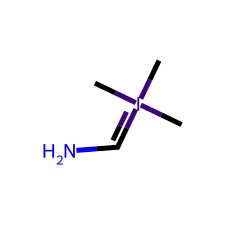 CI(C)(C)=CN